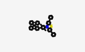 Cc1cc(N2c3ccc(-c4ccccc4)cc3Sc3cc(-c4ccccc4)ccc32)c(C)cc1-c1ccc2c(c1)C1(c3ccccc3-c3ccccc31)c1ccccc1-2